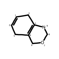 C1=CCC2=C(C1)COC[N]2